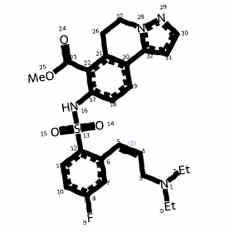 CCN(CC)C/C=C\c1cc(F)ccc1S(=O)(=O)Nc1ccc2c(c1C(=O)OC)CCn1nccc1-2